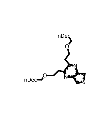 CCCCCCCCCCCOCCc1nc2cscc2nc1CCOCCCCCCCCCCC